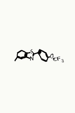 Cc1ccc2sc(-c3ccc(OC(F)(F)F)cc3)nc2c1